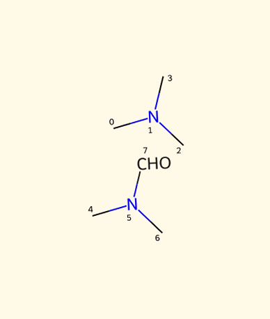 CN(C)C.CN(C)C=O